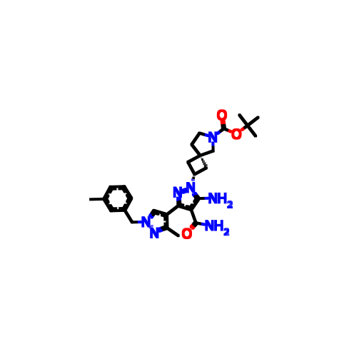 Cc1cccc(Cn2cc(-c3nn([C@H]4C[C@@]5(CCN(C(=O)OC(C)(C)C)C5)C4)c(N)c3C(N)=O)c(C)n2)c1